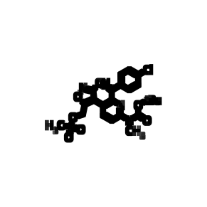 Cc1noc(COS(C)(=O)=O)c1-c1ccc(N(C)C(=O)OC(C)(C)C)nc1C(=O)c1ccc(Cl)cc1